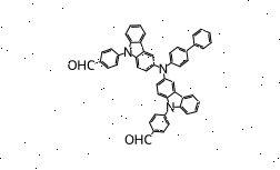 O=Cc1ccc(-n2c3ccccc3c3cc(N(c4ccc(-c5ccccc5)cc4)c4ccc5c(c4)c4ccccc4n5-c4ccc(C=O)cc4)ccc32)cc1